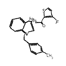 Cc1ccc(Cn2cc(NC(=O)c3sccc3F)c3ccccc32)cc1